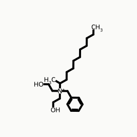 CCCCCCCCCCC(C)[N+](CCO)(CCO)Cc1ccccc1